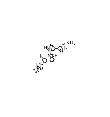 CCNCc1cncc(-c2cnc3[nH]nc(-c4nc5c(-c6cc(F)cc(CNS(C)(=O)=O)c6)cccc5[nH]4)c3c2)c1